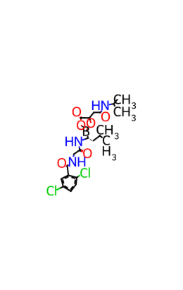 CC(C)C[C@H](NC(=O)CNC(=O)c1cc(Cl)ccc1Cl)B1OC(=O)C(CC(=O)NC(C)C)O1